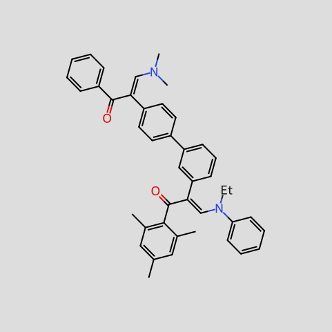 CCN(/C=C(/C(=O)c1c(C)cc(C)cc1C)c1cccc(-c2ccc(/C(=C\N(C)C)C(=O)c3ccccc3)cc2)c1)c1ccccc1